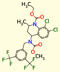 CCOC(=O)N1c2c(ccc(Cl)c2Cl)C(N(Cc2cc(C(F)(F)F)cc(C(F)(F)F)c2)C(=O)OC)CC1C